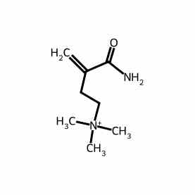 C=C(CC[N+](C)(C)C)C(N)=O